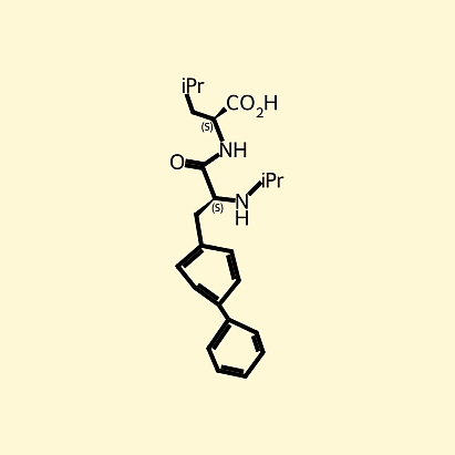 CC(C)C[C@H](NC(=O)[C@H](Cc1ccc(-c2ccccc2)cc1)NC(C)C)C(=O)O